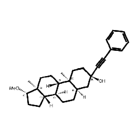 CO[C@H]1CC[C@H]2[C@@H]3CC[C@@H]4C[C@@](O)(C#Cc5ccccc5)CC[C@]4(C)[C@H]3CC[C@]12C